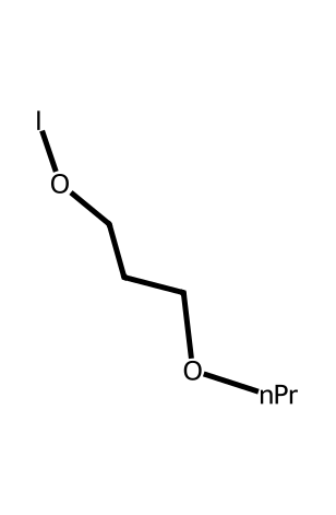 CCCOCCCOI